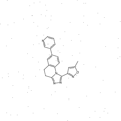 Cc1cc(-c2nnc3n2-c2ccc(-c4cccnc4)cc2CC3)no1